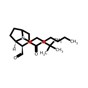 CCCCCCCN1C2CC[C@@H]1[C@H](C=O)N(C(=O)OC(C)(C)C)C2